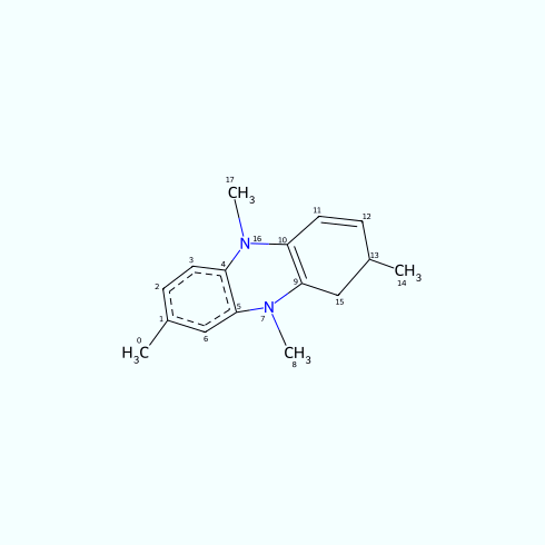 Cc1ccc2c(c1)N(C)C1=C(C=CC(C)C1)N2C